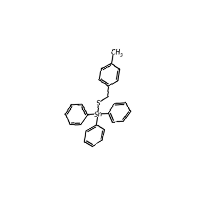 Cc1ccc(C[S][Sn]([c]2ccccc2)([c]2ccccc2)[c]2ccccc2)cc1